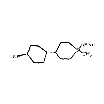 CCCCC[Si]1(C)CCC([C@H]2CC[C@H](O)CC2)CC1